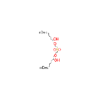 CCCCCCCCCCCCCCC(O)COCCS(=O)(=O)CCOCC(O)CCCCCCCCCCCCCC